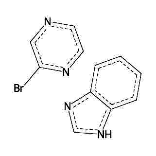 Brc1cnccn1.c1ccc2[nH]cnc2c1